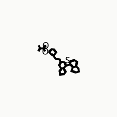 C=C(C)C(=O)Oc1cccc(CCc2cc3ccccc3c3c2sc2ccc4c(c23)C=CCC4)c1